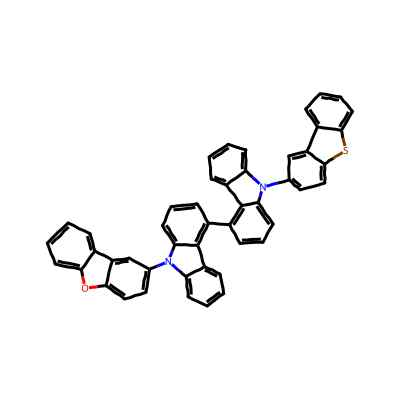 c1ccc2c(c1)oc1ccc(-n3c4ccccc4c4c(-c5cccc6c5c5ccccc5n6-c5ccc6sc7ccccc7c6c5)cccc43)cc12